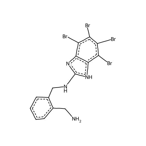 NCc1ccccc1CNc1nc2c(Br)c(Br)c(Br)c(Br)c2[nH]1